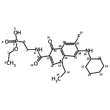 CCOP(=O)(O)CCNC(=O)c1cn(CC)c2cc(NC3CCCCC3)c(F)cc2c1=O